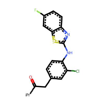 CC(C)C(=O)Cc1ccc(Nc2nc3ccc(F)cc3s2)c(Cl)c1